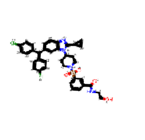 O=C(NCCO)c1cccc(S(=O)(=O)N2CCC(n3c(C4CC4)nc4ccc(C(c5ccc(Cl)cc5)c5ccc(Cl)cc5)cc43)CC2)c1